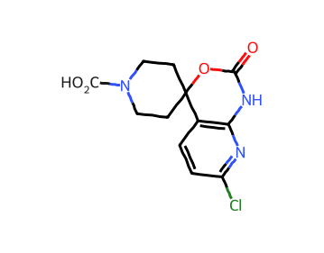 O=C1Nc2nc(Cl)ccc2C2(CCN(C(=O)O)CC2)O1